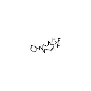 FC(F)(F)c1ccc2nn(-c3ccccc3)cc2n1